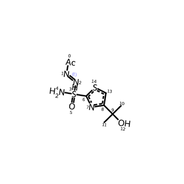 CC(=O)/N=N/[SH](N)(=O)c1nc(C(C)(C)O)cs1